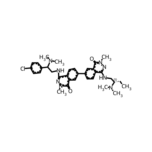 CC[C@@H](CNc1nn(C)c(=O)c2cc(-c3ccc4c(NCC(c5ccc(Cl)cc5)N(C)C)nn(C)c(=O)c4c3)ccc12)N(C)C